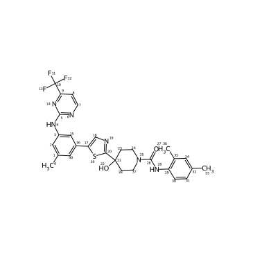 Cc1cc(Nc2nccc(C(F)(F)F)n2)cc(-c2cnc(C3(O)CCN(C(=O)Nc4ccc(C)cc4C)CC3)s2)c1